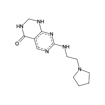 O=C1NCNc2nc(NCCN3CCCC3)ncc21